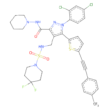 O=C(NN1CCCCC1)c1nn(-c2ccc(Cl)cc2Cl)c(-c2ccc(C#Cc3ccc(C(F)(F)F)cc3)s2)c1CNS(=O)(=O)N1CCC(F)(F)CC1